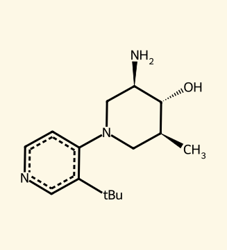 C[C@H]1CN(c2ccncc2C(C)(C)C)C[C@@H](N)[C@@H]1O